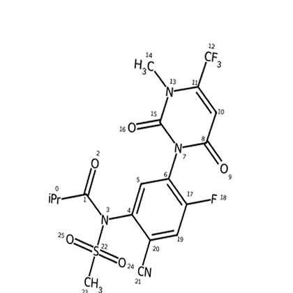 CC(C)C(=O)N(c1cc(-n2c(=O)cc(C(F)(F)F)n(C)c2=O)c(F)cc1C#N)S(C)(=O)=O